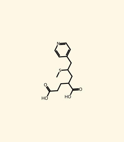 CSC(Cc1ccncc1)CC(CCC(=O)O)C(=O)O